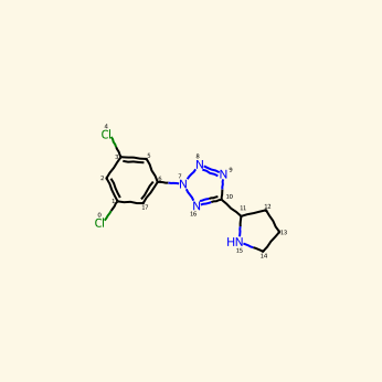 Clc1cc(Cl)cc(-n2nnc(C3CCCN3)n2)c1